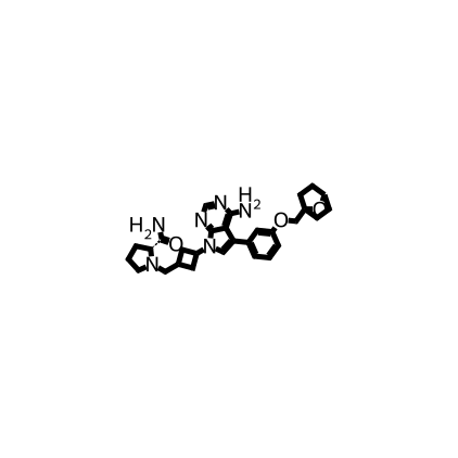 NC(=O)[C@H]1CCCN1CC1CC(n2cc(-c3cccc(OCC45CCC(CC4)O5)c3)c3c(N)ncnc32)C1